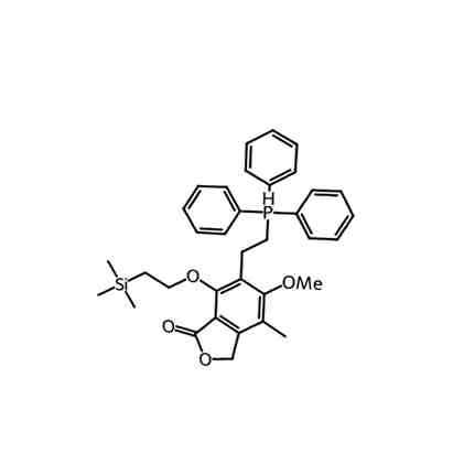 COc1c(C)c2c(c(OCC[Si](C)(C)C)c1CC[PH](c1ccccc1)(c1ccccc1)c1ccccc1)C(=O)OC2